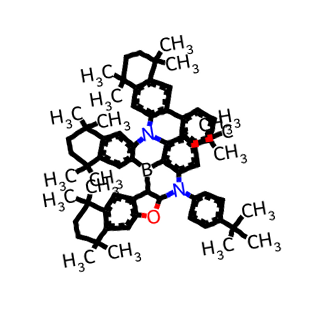 CC(C)(C)c1ccc(N2c3cc(C(C)(C)C)cc4c3B(c3cc5c(cc3N4c3cc4c(cc3-c3ccccc3)C(C)(C)CCC4(C)C)C(C)(C)CCC5(C)C)C3c4cc5c(cc4OC32)C(C)(C)CCC5(C)C)cc1